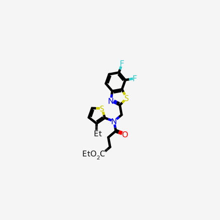 CCOC(=O)CCC(=O)N(Cc1nc2ccc(F)c(F)c2s1)c1sccc1CC